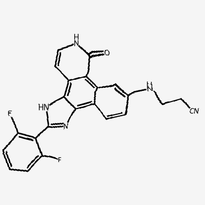 N#CCCNc1ccc2c(c1)c1c(=O)[nH]ccc1c1[nH]c(-c3c(F)cccc3F)nc21